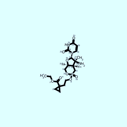 CCOC(=O)C1(CCOP2(=O)C[C@@H]3[C@@H](CO2)O[C@@H](n2ccc(=O)[nH]c2=O)[C@]3(C)N)CC1